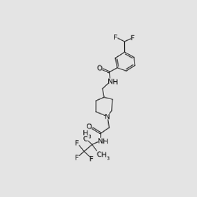 CC(C)(NC(=O)CN1CCC(CNC(=O)c2cccc(C(F)F)c2)CC1)C(F)(F)F